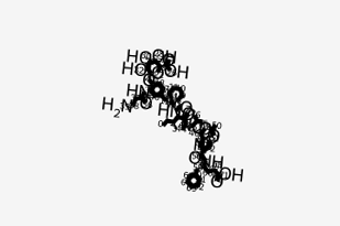 CC[C@H](C)[C@H](NC(=O)[C@H]1CCCC[N+]1(C)Cc1ccc(O[C@@H]2O[C@H](C(=O)O)[C@@H](O)[C@@H](O)[C@@H]2O)c(NC(=O)CCN)c1)C(=O)N(C)[C@H](C[C@@H](OC(C)=O)c1nc(C(=O)N[C@@H](Cc2ccccc2)C[C@H](C)C(=O)O)cs1)C(C)C